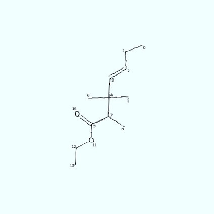 CC/C=C/C(C)(C)C(C)C(=O)OCC